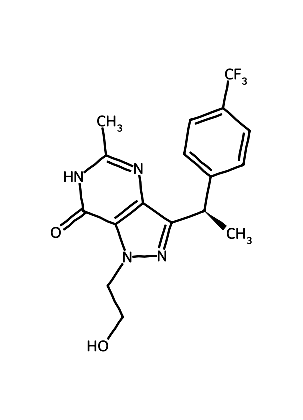 Cc1nc2c([C@H](C)c3ccc(C(F)(F)F)cc3)nn(CCO)c2c(=O)[nH]1